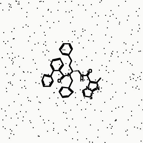 Cc1nc2sccn2c1C(=O)NC[C@@H](CCc1ccccc1)N(Cc1ccccc1)C(=O)c1ccccc1-c1ccccc1